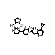 Cn1nccc1Nc1nccc(-c2ccn3c(Cc4nccc(C5CC5)c4F)nnc3c2)n1